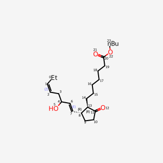 CC/C=C\CC(O)/C=C/[C@H]1CCC(=O)[C@@H]1CCCCCCC(=O)OCCCC